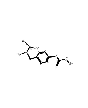 CC(C)[C@@H](C(=O)O)N(C)Cc1ccc(OC(=O)OC(C)(C)C)cc1